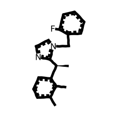 Cc1cccc([C@H](C)c2nccn2Cc2ccccc2F)c1C